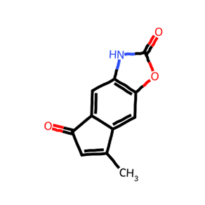 CC1=CC(=O)c2cc3[nH]c(=O)oc3cc21